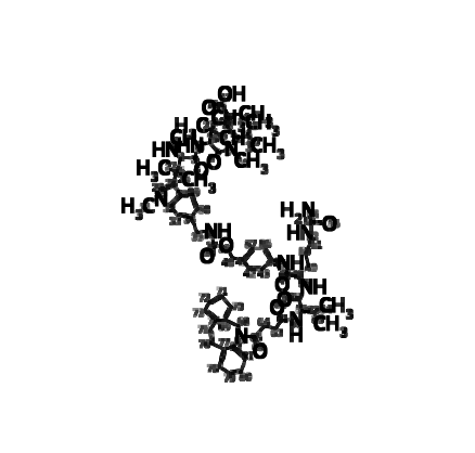 CNC(C(=O)N[C@H](C(=O)N(C)[C@H](/C=C(\C)C(=O)O)C(C)C)C(C)(C)C)C(C)(C)c1cn(C)c2cc(CNC(=O)OCc3ccc(NC(=O)[C@H](CCCNC(N)=O)NC(=O)[C@@H](NC(=O)CCC(=O)N4Cc5ccccc5/C=C\c5ccccc54)C(C)C)cc3)ccc12